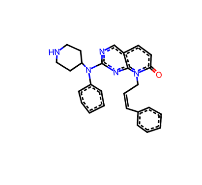 O=c1ccc2cnc(N(c3ccccc3)C3CCNCC3)nc2n1CC=Cc1ccccc1